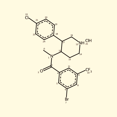 CN(C(=O)c1cc(Br)cc(C(F)(F)F)c1)C1CCNCC1c1ccc(Cl)cc1.Cl